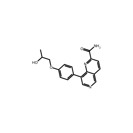 CC(O)COc1ccc(-c2cncc3ccc(C(N)=O)nc23)cc1